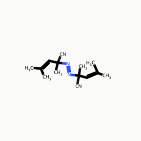 CC(C)=CC(C)(C#N)N=NC(C)(C#N)C=C(C)C